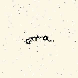 COc1ccc(OCC(=O)NCc2nc3ccccc3[nH]2)cc1